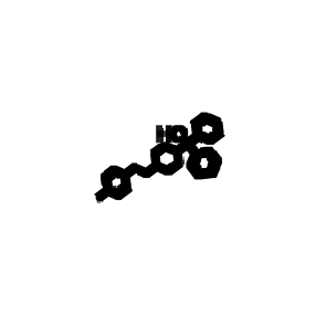 Cc1ccc(CCC2CCC(C(O)(c3ccccc3)c3ccccc3)CC2)cc1